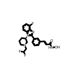 O=C(C=Cc1cccc(-c2nc3c(F)cccc3n2[C@@H]2CCCN(CC(F)F)C2)c1)NO